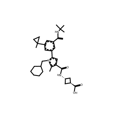 C=C(NC(C)(C)C)c1cc(-c2cc(C(=O)N[C@H]3C[C@H](C(=O)O)C3)c(C)n2CC2CCCCC2)cc(C2(C)CC2)c1